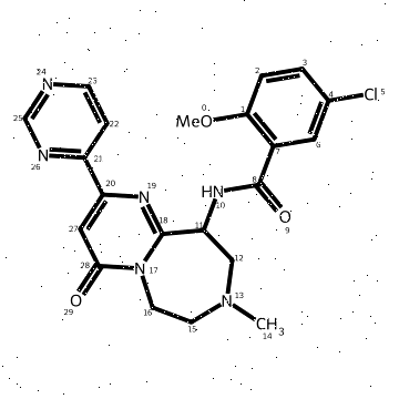 COc1ccc(Cl)cc1C(=O)NC1CN(C)CCn2c1nc(-c1ccncn1)cc2=O